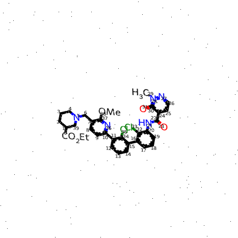 CCOC(=O)C1CCCN(Cc2ccc(-c3cccc(-c4cccc(NC(=O)c5ccnn(C)c5=O)c4Cl)c3Cl)nc2OC)C1